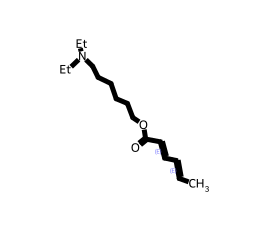 C/C=C/C=C/C(=O)OCCCCCCN(CC)CC